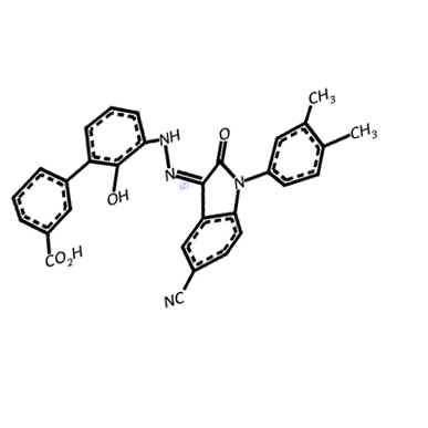 Cc1ccc(N2C(=O)/C(=N\Nc3cccc(-c4cccc(C(=O)O)c4)c3O)c3cc(C#N)ccc32)cc1C